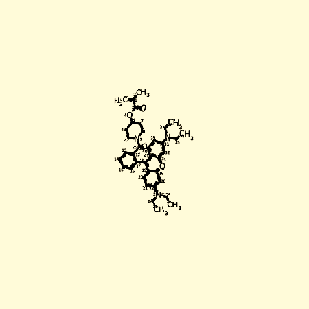 C=C(C)C(=O)OC1CCN(C(=O)c2ccccc2-c2c3ccc(=[N+](CC)CC)cc-3oc3cc(N(CC)CC)ccc23)CC1